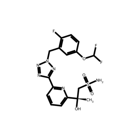 C[C@](O)(CS(N)(=O)=O)c1cccc(-c2nnn(Cc3cc(OC(F)F)ccc3F)n2)n1